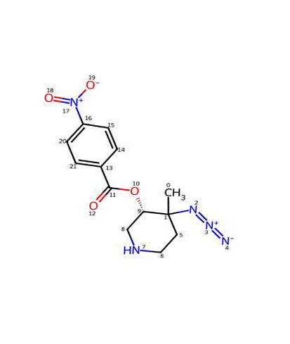 CC1(N=[N+]=[N-])CCNC[C@@H]1OC(=O)c1ccc([N+](=O)[O-])cc1